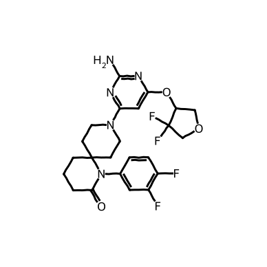 Nc1nc(OC2COCC2(F)F)cc(N2CCC3(CCCC(=O)N3c3ccc(F)c(F)c3)CC2)n1